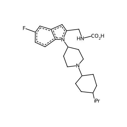 CC(C)C1CCC(N2CCC(n3c(CNC(=O)O)cc4cc(F)ccc43)CC2)CC1